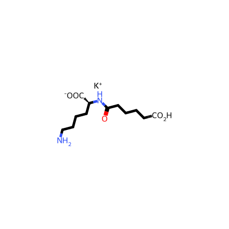 NCCCC[C@H](NC(=O)CCCCC(=O)O)C(=O)[O-].[K+]